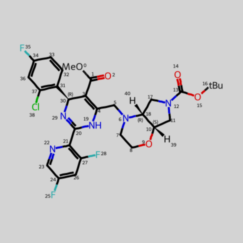 COC(=O)C1=C(CN2CCO[C@H]3CN(C(=O)OC(C)(C)C)C[C@H]32)NC(c2ncc(F)cc2F)=N[C@H]1c1ccc(F)cc1Cl